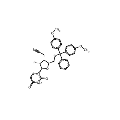 COc1ccc(C(OC[C@H]2O[C@@H](n3ccc(=O)[nH]c3=O)[C@H](F)[C@@H]2CC#N)(c2ccccc2)c2ccc(OC)cc2)cc1